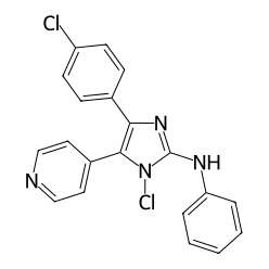 Clc1ccc(-c2nc(Nc3ccccc3)n(Cl)c2-c2ccncc2)cc1